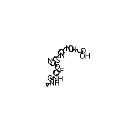 O=C(O)CCN1CCN(Cc2ccc(-c3cc4nccc(Oc5ccc(NC(=O)NC6CC6)cc5F)c4s3)nc2)CC1